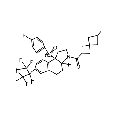 CC1CC2(C1)CC(C(=O)N1CC[C@@]3(S(=O)(=O)c4ccc(F)cc4)c4ccc(C(F)(C(F)(F)F)C(F)(F)F)cc4CC[C@@H]13)C2